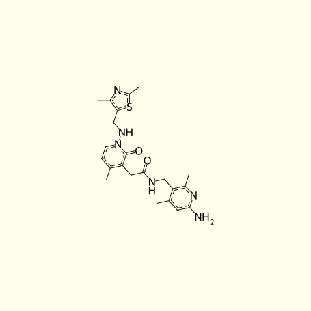 Cc1nc(C)c(CNn2ccc(C)c(CC(=O)NCc3c(C)cc(N)nc3C)c2=O)s1